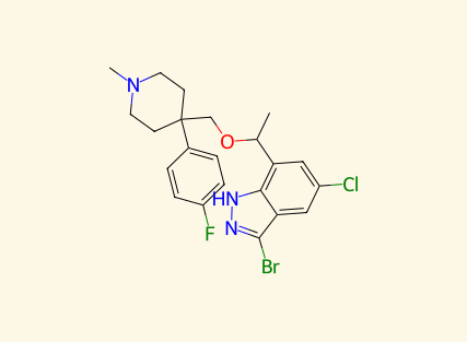 CC(OCC1(c2ccc(F)cc2)CCN(C)CC1)c1cc(Cl)cc2c(Br)n[nH]c12